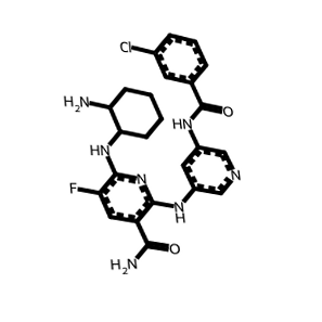 NC(=O)c1cc(F)c(NC2CCCCC2N)nc1Nc1cncc(NC(=O)c2cccc(Cl)c2)c1